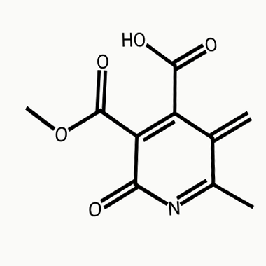 C=C1C(C)=NC(=O)C(C(=O)OC)=C1C(=O)O